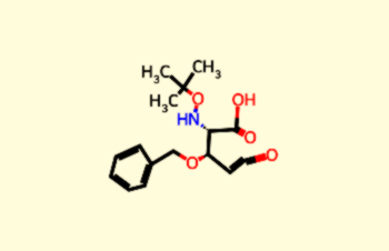 CC(C)(C)ON[C@H](C(=O)O)[C@@H](C=C=O)OCc1ccccc1